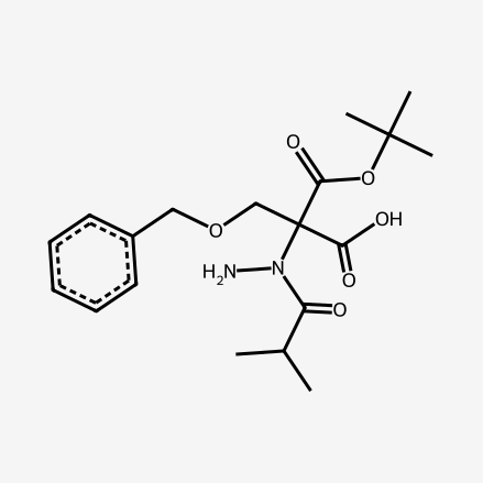 CC(C)C(=O)N(N)C(COCc1ccccc1)(C(=O)O)C(=O)OC(C)(C)C